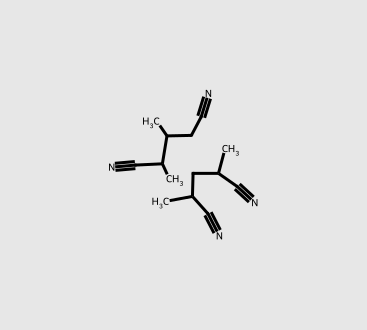 CC(C#N)C(C)CC#N.CC(C#N)CC(C)C#N